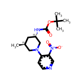 C[C@H]1C[C@H](NC(=O)OC(C)(C)C)CN(c2ccncc2[N+](=O)[O-])C1